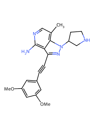 COc1cc(C#Cc2nn(C3CCNC3)c3c(C)cnc(N)c23)cc(OC)c1